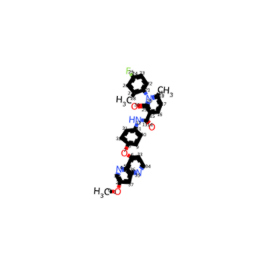 COc1cnc2c(Oc3ccc(NC(=O)c4ccc(C)n(-c5ccc(F)cc5C)c4=O)cc3)ccnc2c1